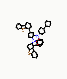 c1ccc(-c2ccc(N(c3ccccc3)c3cc(-c4cccc5c4sc4ccccc45)ccc3-n3c4ccccc4c4c5c(ccc43)sc3ccccc35)cc2)cc1